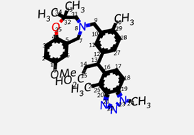 COc1ccc2c(c1)CN(Cc1cc(C(CC(=O)O)c3ccc4c(nnn4C)c3C)ccc1C)CC(C)(C)O2